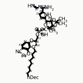 CCCCCCCCCCCCCCCCCCOC[C@H](COP(=O)(O)OC[C@@]1(C)O[C@@H](c2ccc(/C(N)=N\C=N)[nH]2)[C@@H]2OC(C)(C)O[C@@H]21)Oc1ccc(C#N)c(OC(C)C)c1